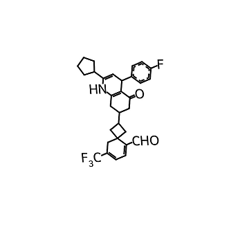 O=CC1=CC=C(C(F)(F)F)CC12CC(C1CC(=O)C3=C(C1)NC(C1CCCC1)=CC3c1ccc(F)cc1)C2